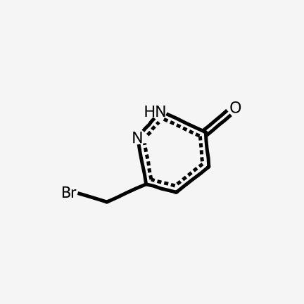 O=c1ccc(CBr)n[nH]1